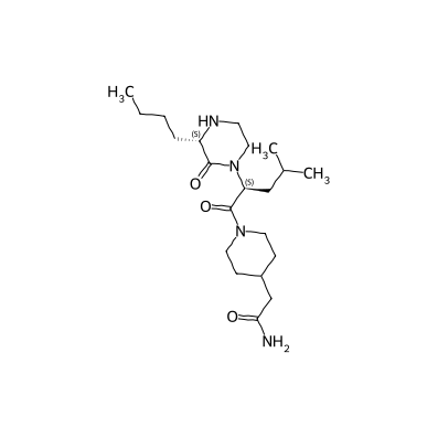 CCCC[C@@H]1NCCN([C@@H](CC(C)C)C(=O)N2CCC(CC(N)=O)CC2)C1=O